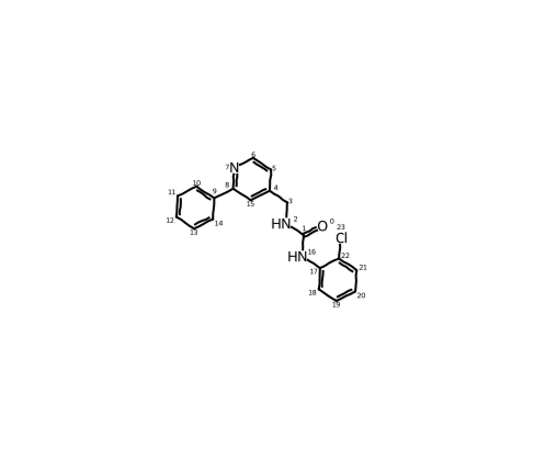 O=C(NCc1ccnc(-c2ccccc2)c1)Nc1ccccc1Cl